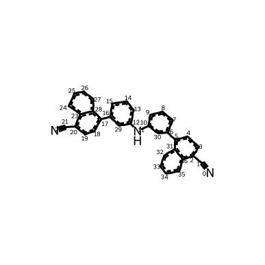 N#Cc1ccc(-c2cccc(Nc3cccc(-c4ccc(C#N)c5ccccc45)c3)c2)c2ccccc12